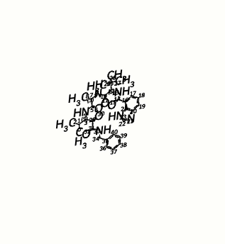 CC(C)[C@H](NC(=O)[C@H](C)NC(=O)[C@@H](NC(=O)c1cccc2nc[nH]c12)C(C)(C)C)C(=O)C(=O)NCc1ccccc1